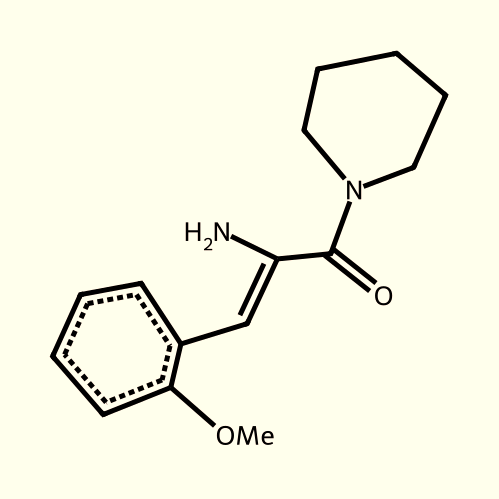 COc1ccccc1C=C(N)C(=O)N1CCCCC1